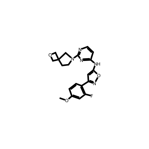 COc1ccc(-c2cc(Nc3ccnc(N4CCC5(COC5)C4)n3)on2)c(F)c1